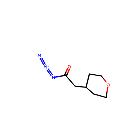 [N-]=[N+]=NC(=O)CC1CCOCC1